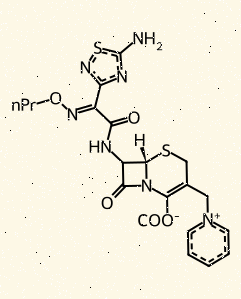 CCCON=C(C(=O)NC1C(=O)N2C(C(=O)[O-])=C(C[n+]3ccccc3)CS[C@@H]12)c1nsc(N)n1